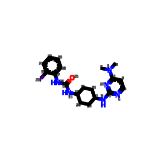 CN(C)c1ccnc(NC2CCC(NC(=O)Nc3ccccc3I)CC2)n1